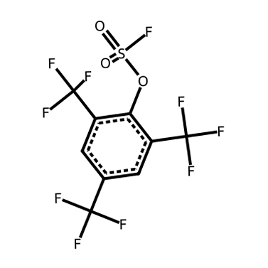 O=S(=O)(F)Oc1c(C(F)(F)F)cc(C(F)(F)F)cc1C(F)(F)F